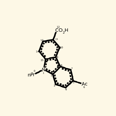 CCCn1c2ccc(C(C)=O)cc2c2cc(C(=O)O)ccc21